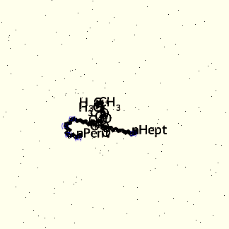 CCCCC/C=C\C/C=C\C/C=C\C/C=C\CCCCCC(=O)O[C@H](COC(=O)CCCCCCC/C=C\CCCCCCC)COP(=O)([O-])OCC[N+](C)(C)C